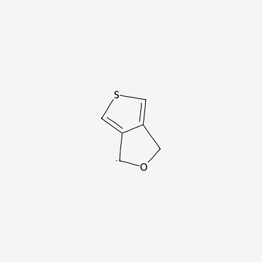 [CH]1OCc2cscc21